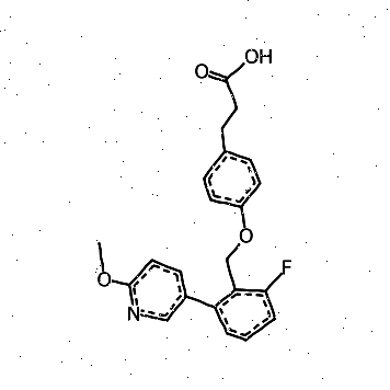 COc1ccc(-c2cccc(F)c2COc2ccc(CCC(=O)O)cc2)cn1